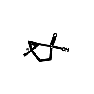 C[C@@]12C=C1P(=O)(O)CC2